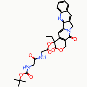 CCC1(OC(=O)CNC(=O)CNC(=O)OC(C)(C)C)C(=O)OCc2c1cc1n(c2=O)Cc2cc3ccccc3nc2-1